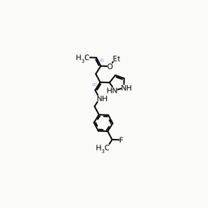 C/C=C(\C/C(=C/NCc1ccc(C(C)F)cc1)C1C=CNN1)OCC